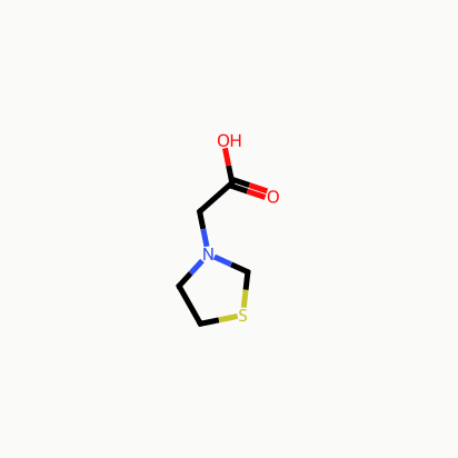 O=C(O)CN1CCSC1